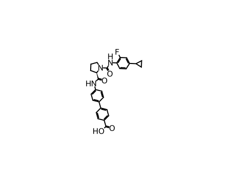 O=C(O)c1ccc(-c2ccc(NC(=O)[C@H]3CCCN3C(=O)Nc3ccc(C4CC4)cc3F)cc2)cc1